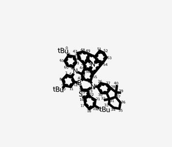 CC(C)(C)c1ccc(N2c3ccc(C(C)(C)C)cc3B3c4sc5ccc(C(C)(C)C)cc5c4N(c4ccc5c(c4)C4(C)CCCCC4C5(C)C)c4c3c2c2c3cccc5c6cccc7c4c2n(c53)c67)cc1